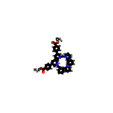 COC(=O)c1ccc(-c2ccc3[n+](c2)Cc2ccccc2-c2cccc[n+]2-c2ccccc2-c2cccc[n+]2C[n+]2cc(-c4ccc(C(=O)OC)cc4)ccc2-3)cc1